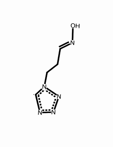 ON=CCCn1[c]nnn1